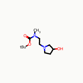 CN(CCN1CCC(O)C1)C(=O)OC(C)(C)C